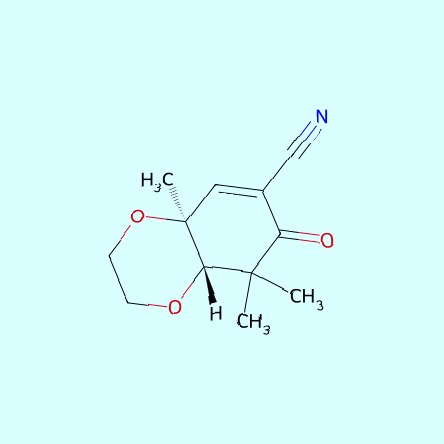 CC1(C)C(=O)C(C#N)=C[C@]2(C)OCCO[C@@H]12